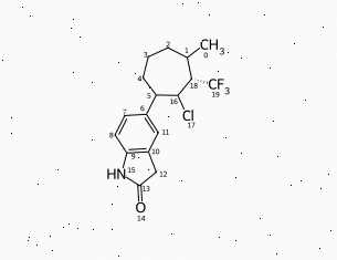 CC1CCCC(c2ccc3c(c2)CC(=O)N3)C(Cl)[C@H]1C(F)(F)F